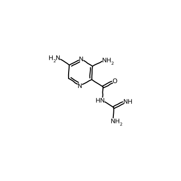 N=C(N)NC(=O)c1ncc(N)nc1N